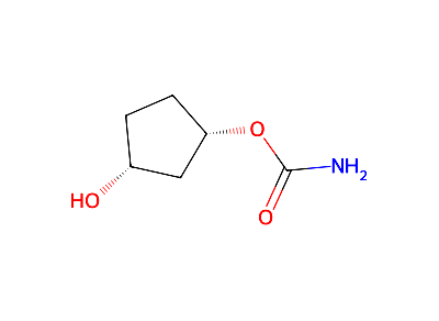 NC(=O)O[C@H]1CC[C@@H](O)C1